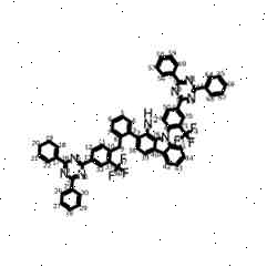 Nc1c(-c2ccccc2Cc2ccc(-c3nc(C4=CCCC=C4)nc(-c4ccccc4)n3)cc2C(F)(F)F)ccc2c3ccccc3n(-c3ccc(-c4nc(C5=CC=C=C=C5)nc(-c5ccccc5)n4)cc3C(F)(F)F)c12